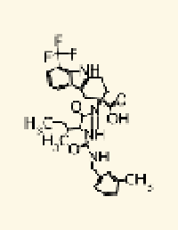 CCC(C)C(NC(=O)NCc1cccc(C)c1)C(=O)N[C@]1(C(=O)O)CCc2[nH]c3c(C(F)(F)F)cccc3c2C1